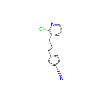 N#Cc1ccc(C=CCc2[c]ccnc2Cl)cc1